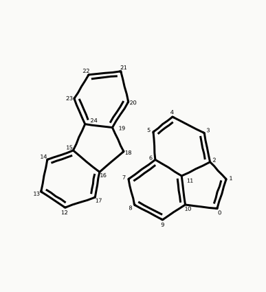 C1=Cc2cccc3cccc1c23.c1ccc2c(c1)Cc1ccccc1-2